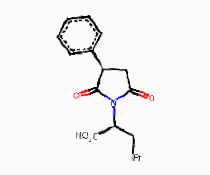 CC(C)C[C@@H](C(=O)O)N1C(=O)C[C@H](c2ccccc2)C1=O